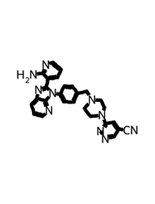 N#Cc1cnnc(N2CCN(Cc3ccc(-n4c(-c5cccnc5N)nc5cccnc54)cc3)CC2)c1